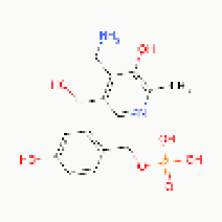 Cc1ncc(CO)c(CN)c1O.O=P(O)(O)OCc1ccc(O)cc1